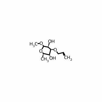 C=CCO[C@H]1[C@H](O)[C@@H](C)OC(OC)[C@H]1O